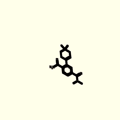 CN(C)C(=O)c1ccc(C(N)=O)c(C2=CCC(C)(C)CC2)c1